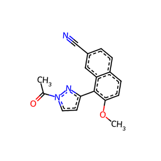 COc1ccc2ccc(C#N)cc2c1-c1ccn(C(C)=O)n1